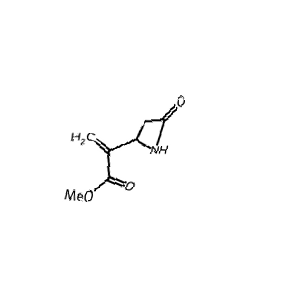 C=C(C(=O)OC)C1CC(=O)N1